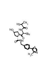 Cc1ncsc1-c1ccc(CNC(=O)[C@@H]2C[C@@H](O)CN2C(=O)[C@@H](NC(=O)C(C)S)C(C)(C)C)cc1